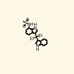 CCC(CC)(c1c[nH]c2ccccc12)c1c[nH]c2c(NS(C)(=O)=O)cccc12